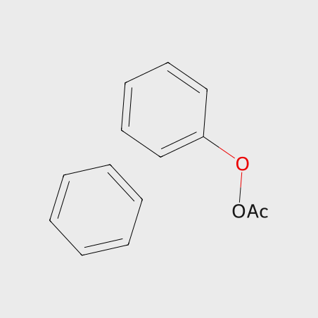 CC(=O)OOc1ccccc1.c1ccccc1